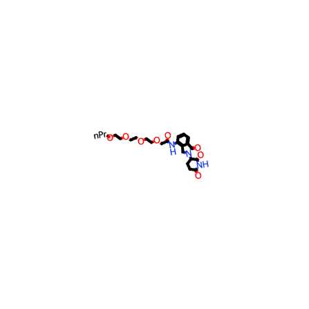 CCCOCCOCCOCCOCC(=O)Nc1cccc2c1CN(C1CCC(=O)NC1=O)C2=O